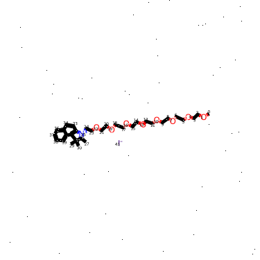 COCCOCCOCCOCCOCCOCCOCCOCC[N+]1=C(C)C(C)(C)c2c1ccc1ccccc21.[I-]